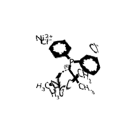 CN(C)C[C@H](P(c1ccccc1)c1ccccc1)C(C)(C)C.[Cl-].[Cl-].[Ni+2]